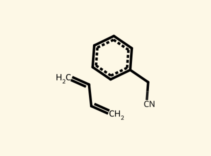 C=CC=C.N#CCc1ccccc1